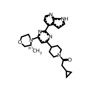 C[C@@H]1COCCN1c1cc(C2CCN(C(=O)CC3CC3)CC2)nc(-c2ccnc3[nH]ccc23)n1